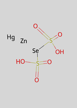 O=S(=O)(O)[Se]S(=O)(=O)O.[Hg].[Zn]